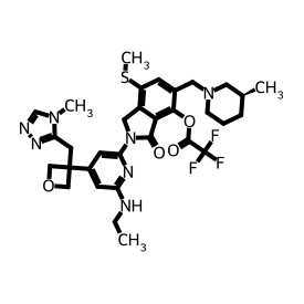 CCNc1cc(C2(Cc3nncn3C)COC2)cc(N2Cc3c(SC)cc(CN4CCC[C@H](C)C4)c(OC(=O)C(F)(F)F)c3C2=O)n1